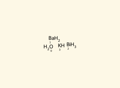 O.[BaH2].[BiH3].[KH]